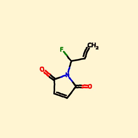 C=CC(F)N1C(=O)C=CC1=O